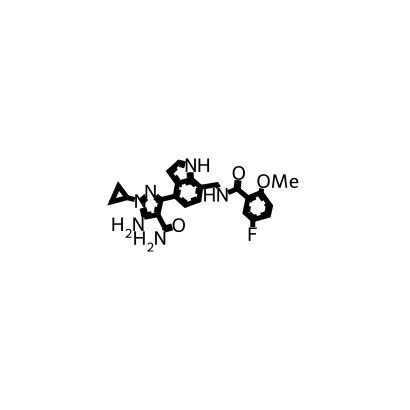 COc1ccc(F)cc1C(=O)NCc1ccc(-c2nn(C3CC3)c(N)c2C(N)=O)c2cc[nH]c12